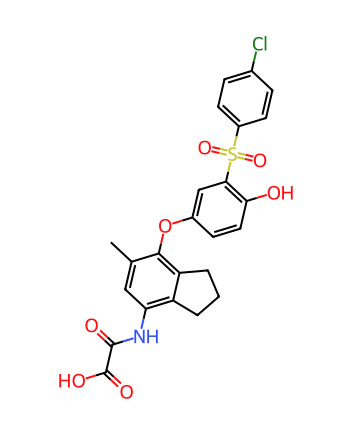 Cc1cc(NC(=O)C(=O)O)c2c(c1Oc1ccc(O)c(S(=O)(=O)c3ccc(Cl)cc3)c1)CCC2